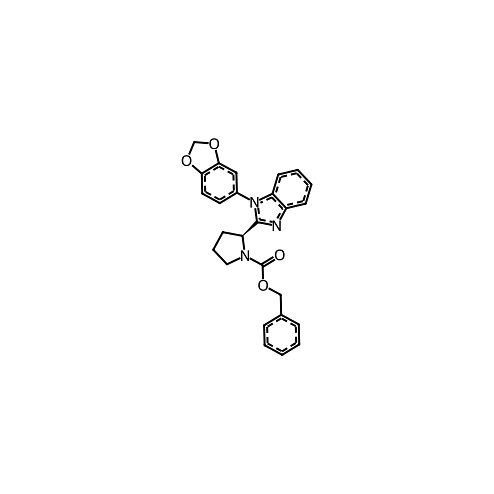 O=C(OCc1ccccc1)N1CCC[C@H]1c1nc2ccccc2n1-c1ccc2c(c1)OCO2